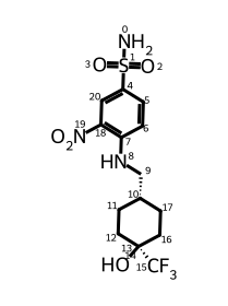 NS(=O)(=O)c1ccc(NC[C@H]2CC[C@@](O)(C(F)(F)F)CC2)c([N+](=O)[O-])c1